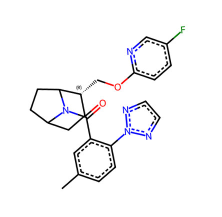 Cc1ccc(-n2nccn2)c(C(=O)N2C3CCC2[C@H](COc2ccc(F)cn2)CC3)c1